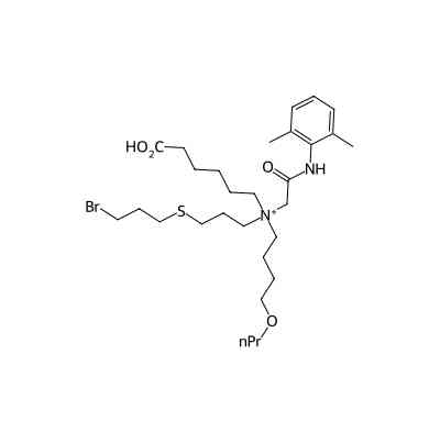 CCCOCCCC[N+](CCCCCC(=O)O)(CCCSCCCBr)CC(=O)Nc1c(C)cccc1C